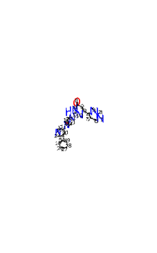 O=c1cc(-c2ccncn2)nc(N2CC3CC2CN3c2cncc(-c3ccccc3)c2)[nH]1